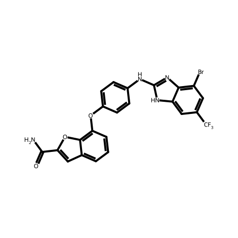 NC(=O)c1cc2cccc(Oc3ccc(Nc4nc5c(Br)cc(C(F)(F)F)cc5[nH]4)cc3)c2o1